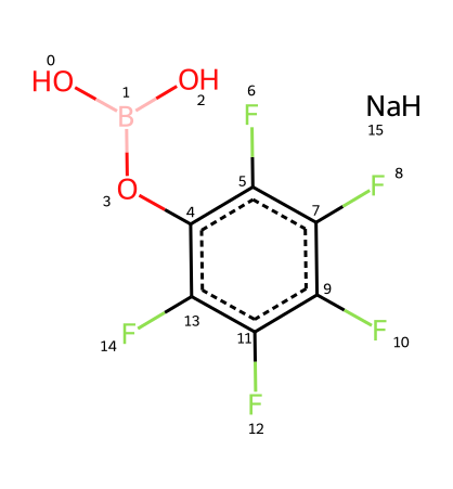 OB(O)Oc1c(F)c(F)c(F)c(F)c1F.[NaH]